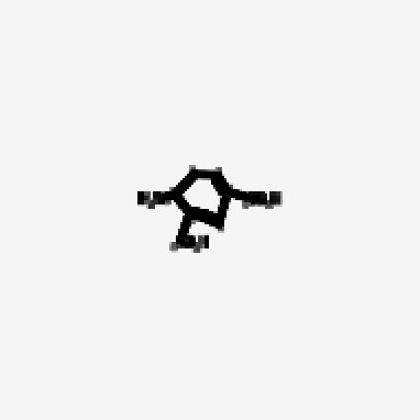 N[C]1CC=C(S(=O)(=O)O)C=C1S(=O)(=O)O